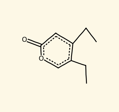 CCc1coc(=O)cc1CC